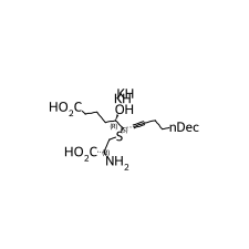 CCCCCCCCCCCCC#C[C@H](SC[C@H](N)C(=O)O)[C@H](O)CCCC(=O)O.[KH].[KH]